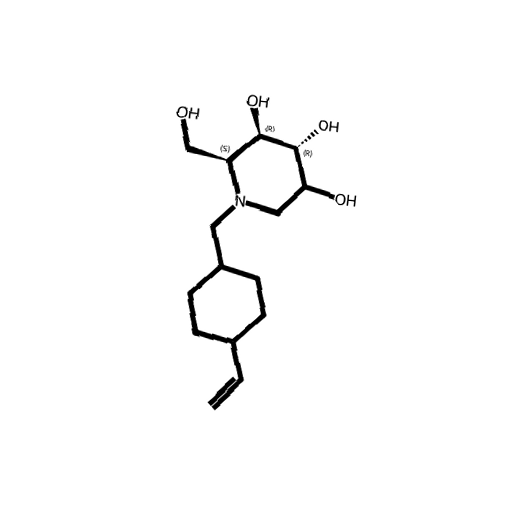 C=CC1CCC(CN2CC(O)[C@@H](O)[C@H](O)[C@@H]2CO)CC1